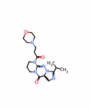 CC(C)c1ncc2c(=O)n3c(nn12)N(C(=O)CCN1CCOCC1)CCC3